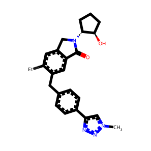 CCc1cc2c(cc1Cc1ccc(-c3cn(C)nn3)cc1)C(=O)N([C@@H]1CCC[C@H]1O)C2